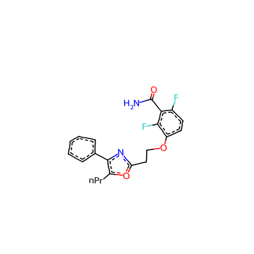 CCCc1oc(CCOc2ccc(F)c(C(N)=O)c2F)nc1-c1ccccc1